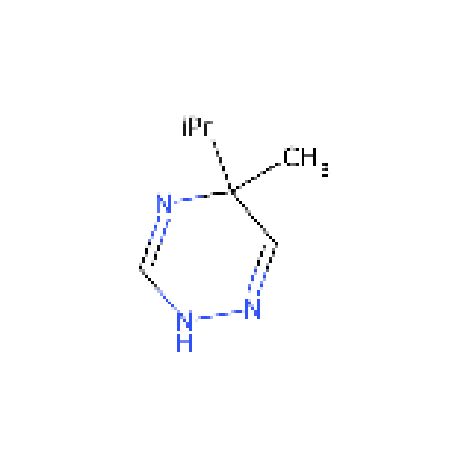 CC(C)C1(C)C=NNC=N1